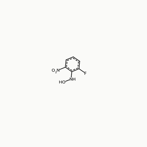 O=[N+]([O-])c1cccc(F)c1NO